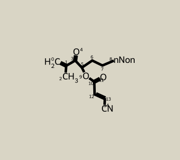 C=C(C)C(=O)C(CCCCCCCCCCC)OC(=O)C=CC#N